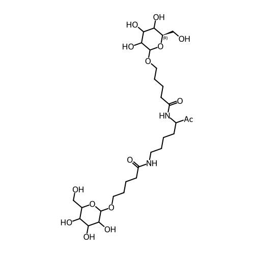 CC(=O)C(CCCCNC(=O)CCCCOC1OC(CO)C(O)C(O)C1O)NC(=O)CCCCOC1O[C@H](CO)C(O)C(O)C1O